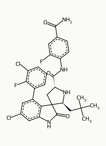 CC(C)(C)C[C@@H]1N[C@@H](C(=O)Nc2ccc(C(N)=O)cc2F)CC12C(=O)Nc1cc(Cl)cc(-c3cccc(Cl)c3F)c12